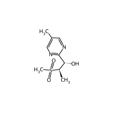 Cc1cnc([C@H](O)[C@@H](C)S(C)(=O)=O)nc1